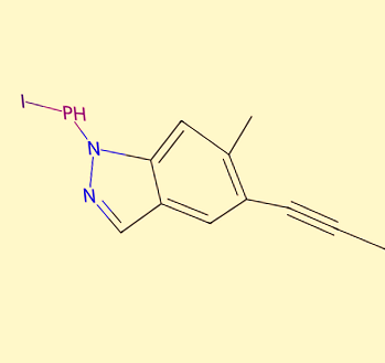 CCC#Cc1cc2cnn(PI)c2cc1C